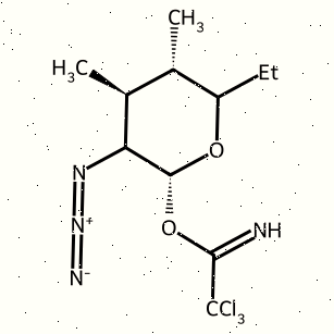 CCC1O[C@H](OC(=N)C(Cl)(Cl)Cl)C(N=[N+]=[N-])[C@@H](C)[C@@H]1C